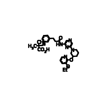 CCOc1cccnc1OC1CCCN(c2cncc(NC(=O)CCc3cccc(CC(C)(C)C(=O)O)c3)n2)C1